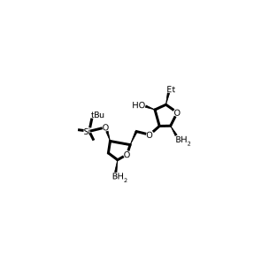 B[C@@H]1O[C@H](CC)[C@H](O)C1OC[C@H]1O[C@@H](B)C[C@H]1O[Si](C)(C)C(C)(C)C